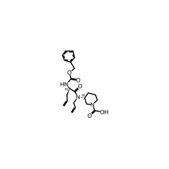 C=CC[C@@H](NC(=O)OCc1ccccc1)C(=O)N(CC=C)[C@@H]1CCCN(C(=O)O)C1